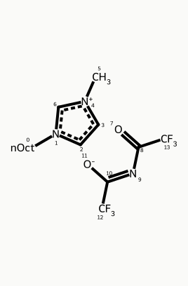 CCCCCCCCn1cc[n+](C)c1.O=C(N=C([O-])C(F)(F)F)C(F)(F)F